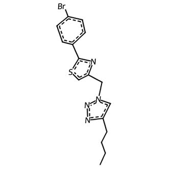 CCCCc1cn(Cc2csc(-c3ccc(Br)cc3)n2)nn1